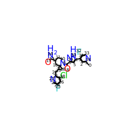 Cc1cc(-c2cc(C(=O)N3CCC(C(N)=O)CC34CC4Cc3ncc(F)cc3Cl)n[nH]2)c(F)cn1